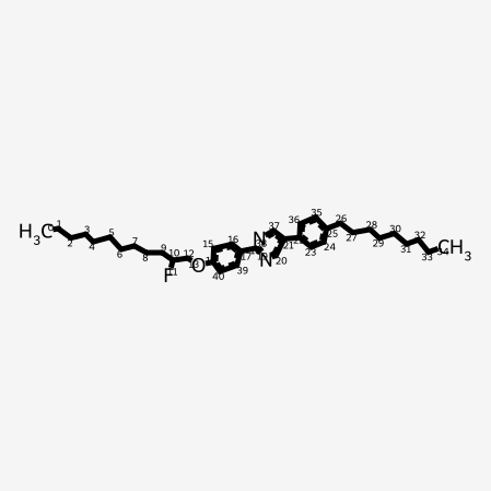 CCCCCCCCCCC(F)COc1ccc(-c2ncc(-c3ccc(CCCCCCCCC)cc3)cn2)cc1